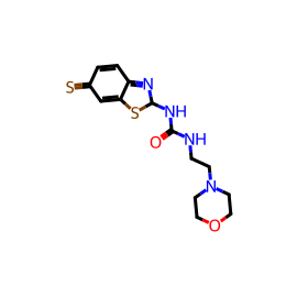 O=C(NCCN1CCOCC1)NC1N=C2C=CC(=S)C=C2S1